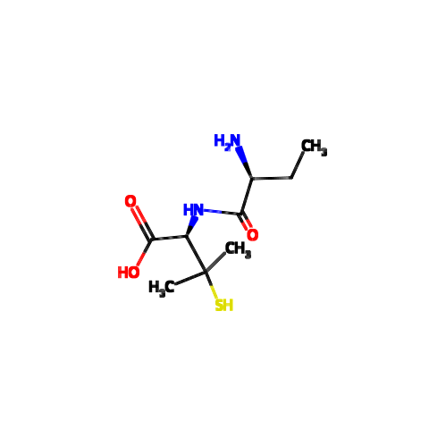 CC[C@H](N)C(=O)N[C@H](C(=O)O)C(C)(C)S